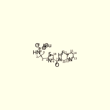 CC(C)(Cc1nc(C(=O)NCc2ncccc2F)cs1)NC(=O)OC(C)(C)C